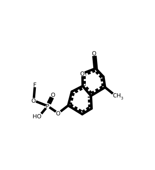 Cc1cc(=O)oc2cc(OP(=O)(O)OF)ccc12